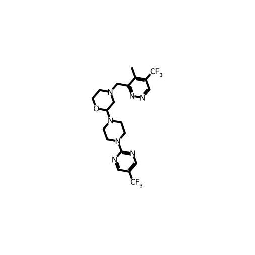 Cc1c(C(F)(F)F)cnnc1CN1CCOC(N2CCN(c3ncc(C(F)(F)F)cn3)CC2)C1